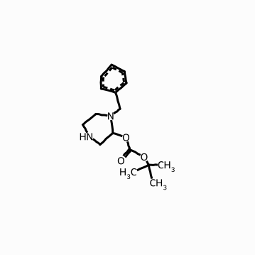 CC(C)(C)OC(=O)OC1CNCCN1Cc1ccccc1